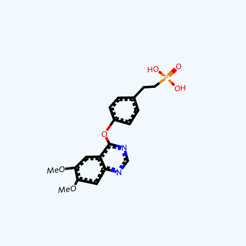 COc1cc2ncnc(Oc3ccc(CCP(=O)(O)O)cc3)c2cc1OC